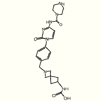 O=C(O)NC1CC2(C1)CN(Cc1ccc(-n3ccc(NC(=O)N4CCNCC4)nc3=O)cc1)C2